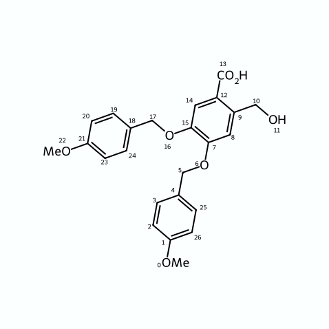 COc1ccc(COc2cc(CO)c(C(=O)O)cc2OCc2ccc(OC)cc2)cc1